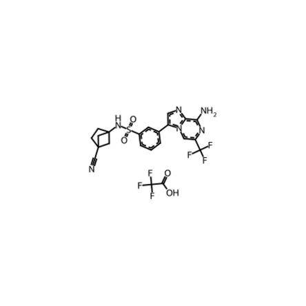 N#CC12CCC(NS(=O)(=O)c3cccc(-c4cnc5c(N)nc(C(F)(F)F)cn45)c3)(C1)C2.O=C(O)C(F)(F)F